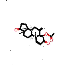 C=C1C[C@@H]2[C@H](CC[C@]3(C)C(=O)CC[C@@H]23)[C@@]2(C)C=CC(=O)C(OC(C)=O)=C12